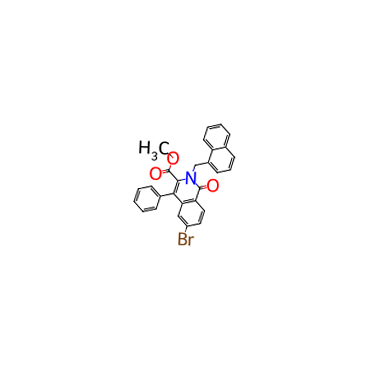 COC(=O)c1c(-c2ccccc2)c2cc(Br)ccc2c(=O)n1Cc1cccc2ccccc12